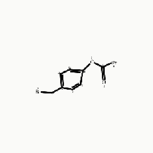 CC(C)C(=O)Oc1ccc(CBr)cc1